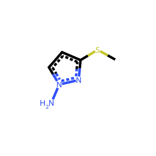 CSc1ccn(N)n1